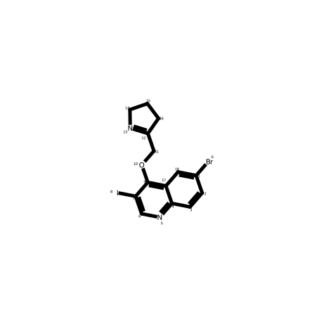 Brc1ccc2ncc(I)c(OCC3=NCCC3)c2c1